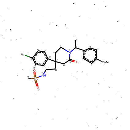 COc1ccc([C@H](C)N2CCC(CCNS(C)(=O)=O)(c3ccc(F)cc3)CC2=O)cc1